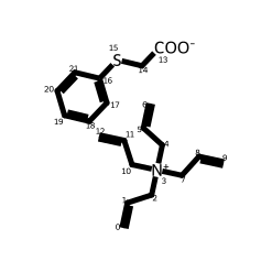 C=CC[N+](CC=C)(CC=C)CC=C.O=C([O-])CSc1ccccc1